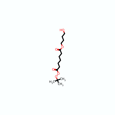 CC(C)(C)OOC(=O)CCCCCC(=O)OCCCCO